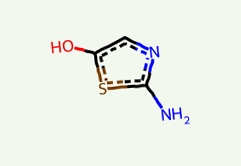 Nc1ncc(O)s1